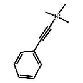 C[N+](C)(C)C#Cc1ccccc1